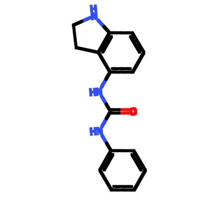 O=C(Nc1ccccc1)Nc1cccc2c1CCN2